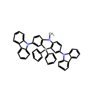 CN1c2ccc(-n3c4ccccc4c4ccccc43)cc2[Si](c2ccccc2)(c2ccccc2)c2cc(-n3c4ccccc4c4ccccc43)ccc21